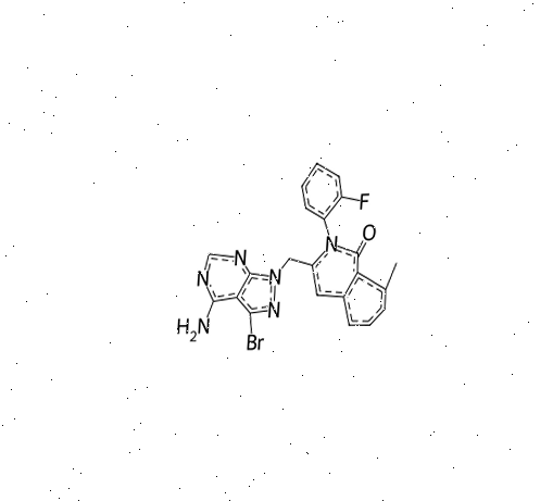 Cc1cccc2cc(Cn3nc(Br)c4c(N)ncnc43)n(-c3ccccc3F)c(=O)c12